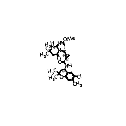 COCC[C@H]([C@@H]1C[C@H]1C(=O)N[C@H]1CC(C)(C)Oc2cc(C)c(Cl)cc21)N1C(=N)NC(C)(C)CC1=O